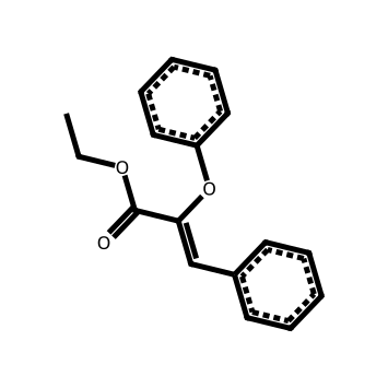 CCOC(=O)C(=Cc1ccccc1)Oc1ccccc1